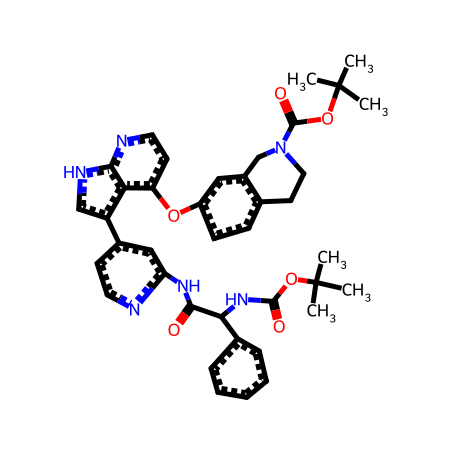 CC(C)(C)OC(=O)NC(C(=O)Nc1cc(-c2c[nH]c3nccc(Oc4ccc5c(c4)CN(C(=O)OC(C)(C)C)CC5)c23)ccn1)c1ccccc1